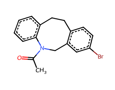 CC(=O)N1Cc2cc(Br)ccc2CCc2ccccc21